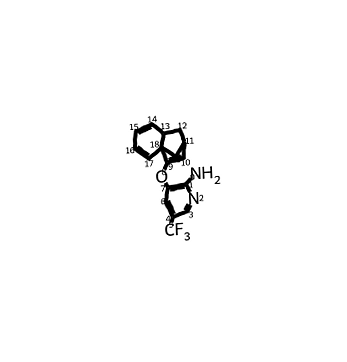 Nc1ncc(C(F)(F)F)cc1OC1=CC2CC3C=CC=CC13C2